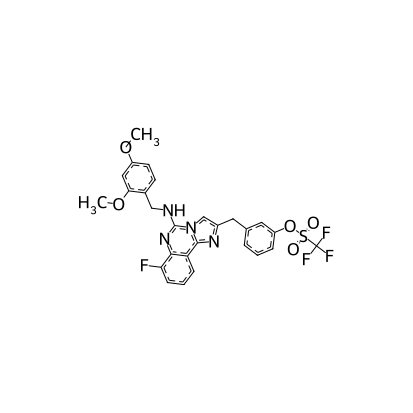 COc1ccc(CNc2nc3c(F)cccc3c3nc(Cc4cccc(OS(=O)(=O)C(F)(F)F)c4)cn23)c(OC)c1